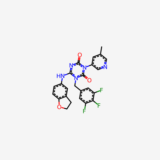 Cc1cncc(-n2c(=O)nc(Nc3ccc4c(c3)CCO4)n(Cc3cc(F)c(F)c(F)c3)c2=O)c1